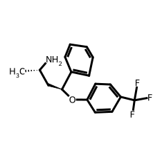 C[C@H](N)C[C@H](Oc1ccc(C(F)(F)F)cc1)c1ccccc1